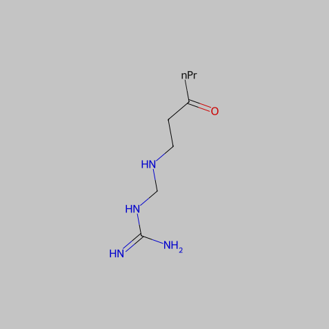 CCCC(=O)CCNCNC(=N)N